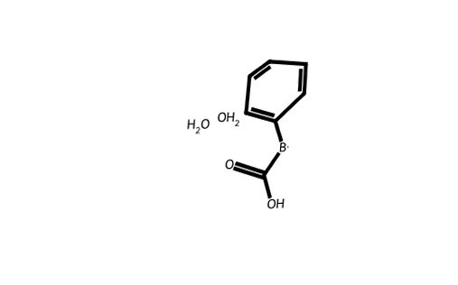 O.O.O=C(O)[B]c1ccccc1